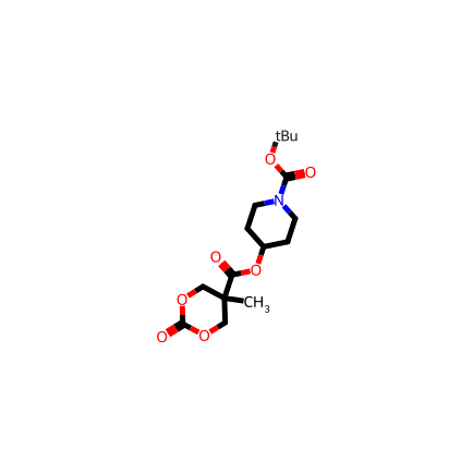 CC(C)(C)OC(=O)N1CCC(OC(=O)C2(C)COC(=O)OC2)CC1